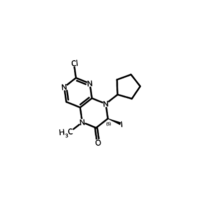 CN1C(=O)[C@H](I)N(C2CCCC2)c2nc(Cl)ncc21